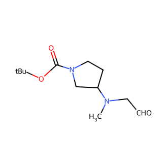 CN(CC=O)C1CCN(C(=O)OC(C)(C)C)C1